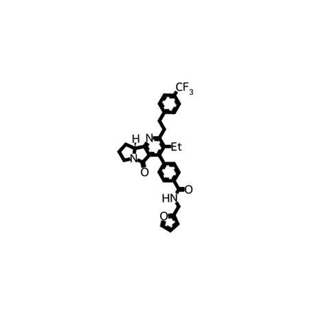 CCc1c(CCc2ccc(C(F)(F)F)cc2)nc2c(c1-c1ccc(C(=O)NCc3ccco3)cc1)C(=O)N1CCC[C@@H]21